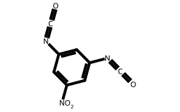 O=C=Nc1cc(N=C=O)cc([N+](=O)[O-])c1